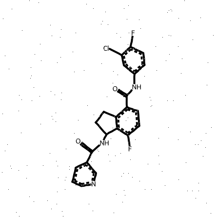 O=C(NC1CCc2c(C(=O)Nc3ccc(F)c(Cl)c3)ccc(F)c21)c1cccnc1